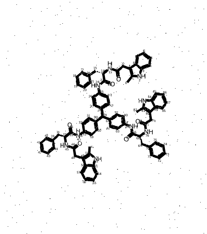 Cc1[nH]c2ccccc2c1CC(=O)N[C@@H](Cc1ccccc1)C(=O)Nc1ccc(C(c2ccc(NC(=O)[C@H](Cc3ccccc3)NC(=O)Cc3c(C)[nH]c4ccccc34)cc2)c2ccc(NC(=O)[C@H](Cc3ccccc3)NC(=O)Cc3c(C)[nH]c4ccccc34)cc2)cc1